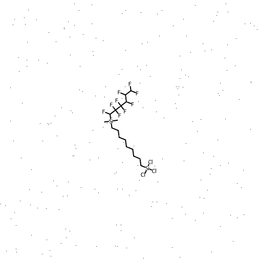 C[Si](C)(CCCCCCCCC[Si](Cl)(Cl)Cl)C(F)C(F)(F)C(F)(F)C(F)C(F)C(F)F